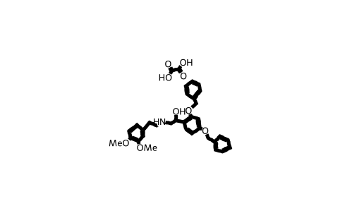 COc1ccc(CCNCC(O)c2ccc(OCc3ccccc3)cc2OCc2ccccc2)cc1OC.O=C(O)C(=O)O